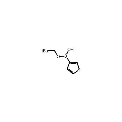 CC(C)(C)COB(O)c1ccsc1